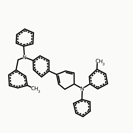 Cc1cccc(CN(c2ccccc2)c2ccc(C3=CCC(N(c4ccccc4)c4cccc(C)c4)C=C3)cc2)c1